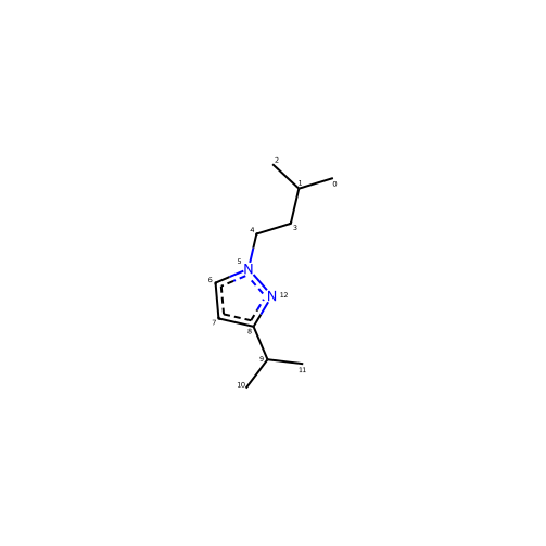 CC(C)CCn1ccc(C(C)C)n1